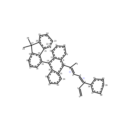 C=C/C(=C\C=C(/C)c1c2ccccc2c(-c2cccc3c2-c2ncccc2C3(C)C)c2ccccc12)c1ccccc1